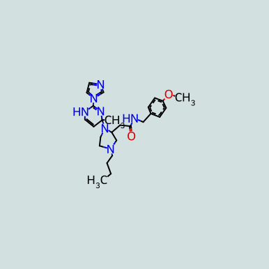 CCCCN1CCN(C2(C)C=CNC(n3ccnc3)=N2)C(CC(=O)NCc2ccc(OC)cc2)C1